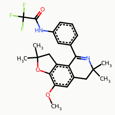 COc1cc2c(c3c1OC(C)(C)C3)C(c1cccc(NC(=O)C(F)(F)F)c1)=NC(C)(C)C2